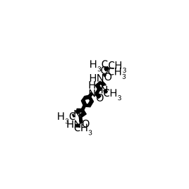 CNC(=O)c1cc(-c2ccc(NC(=O)c3cc(NC(=O)OC(C)(C)C)cn3C)cc2)cn1C